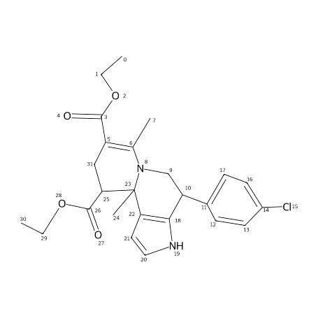 CCOC(=O)C1=C(C)N2CC(c3ccc(Cl)cc3)c3[nH]ccc3C2(C)C(C(=O)OCC)C1